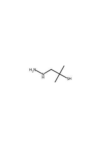 CC(C)(S)CNN